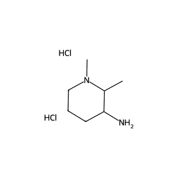 CC1C(N)CCCN1C.Cl.Cl